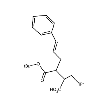 CC(C)CC(C(=O)O)C(CC=Cc1ccccc1)C(=O)OC(C)(C)C